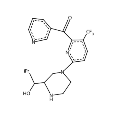 CC(C)C(O)C1CN(c2ccc(C(F)(F)F)c(C(=O)c3cccnc3)n2)CCN1